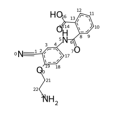 N#Cc1cc(NC(=O)c2ccccc2C(=O)O)ccc1OCCN